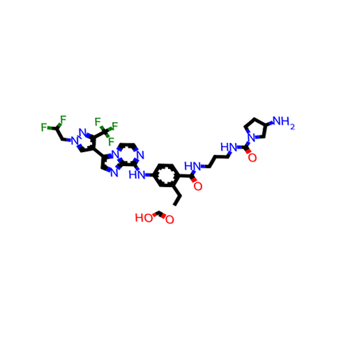 CCc1cc(Nc2nccn3c(-c4cn(CC(F)F)nc4C(F)(F)F)cnc23)ccc1C(=O)NCCCNC(=O)N1CCC(N)C1.O=CO